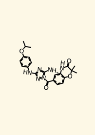 CC(C)Oc1ccc(Nc2nc(N)n(C(=O)c3ccc4c(c3)NC(=O)C(C)(C)O4)n2)cc1